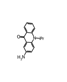 CC(C)n1c2ccccc2c(=O)c2cc(N)ccc21